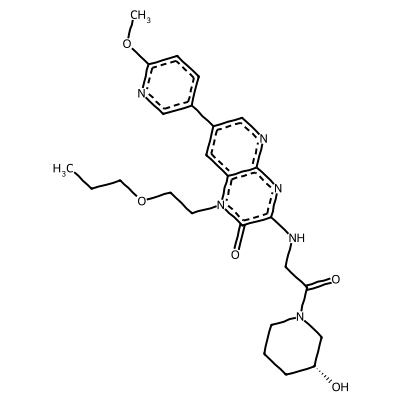 CCCOCCn1c(=O)c(NCC(=O)N2CCC[C@@H](O)C2)nc2ncc(-c3ccc(OC)nc3)cc21